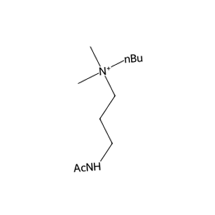 CCCC[N+](C)(C)CCCNC(C)=O